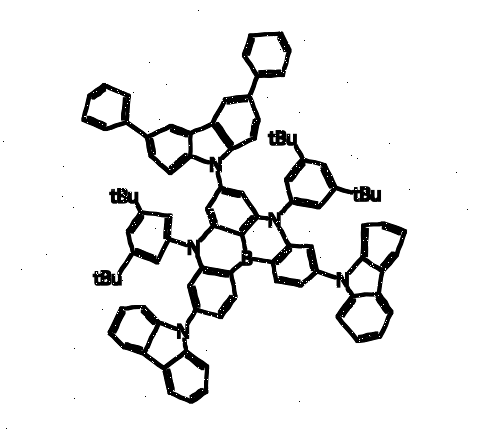 CC(C)(C)c1cc(N2c3cc(-n4c5ccccc5c5ccccc54)ccc3B3c4ccc(-n5c6ccccc6c6ccccc65)cc4N(c4cc(C(C)(C)C)cc(C(C)(C)C)c4)c4cc(-n5c6ccc(-c7ccccc7)cc6c6cc(-c7ccccc7)ccc65)cc2c43)cc(C(C)(C)C)c1